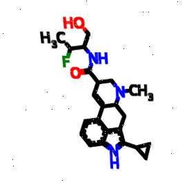 CC(F)C(CO)NC(=O)C1C=C2c3cccc4[nH]c(C5CC5)c(c34)CC2N(C)C1